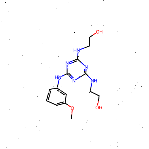 COc1cccc(Nc2nc(NCCO)nc(NCCO)n2)c1